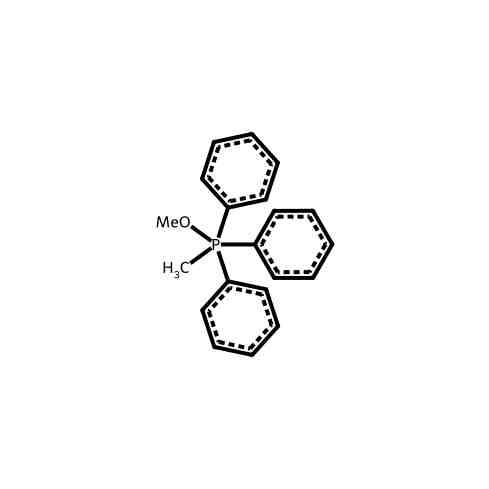 COP(C)(c1ccccc1)(c1ccccc1)c1ccccc1